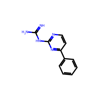 N=C(N)Nc1nccc(-c2ccccc2)n1